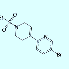 CCS(=O)(=O)N1CC=C(c2ccc(Br)cn2)CC1